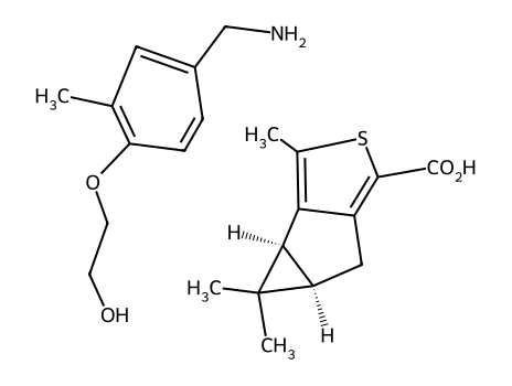 Cc1cc(CN)ccc1OCCO.Cc1sc(C(=O)O)c2c1[C@H]1[C@@H](C2)C1(C)C